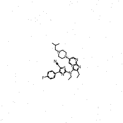 CCc1nc2ncc(N3CCN(C[C](C)C)CC3)cn2c1N(CC)c1nc(-c2ccc(F)cc2)c(C#N)s1